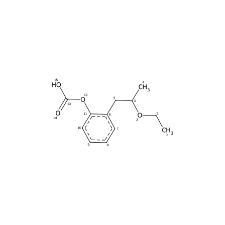 CCOC(C)Cc1ccccc1OC(=O)O